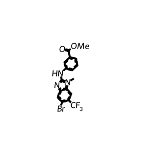 COC(=O)c1cccc(Nc2nc3cc(Br)c(C(F)(F)F)cc3n2C)c1